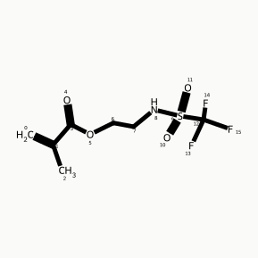 C=C(C)C(=O)OCCNS(=O)(=O)C(F)(F)F